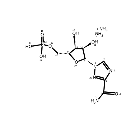 N.N.NC(=O)c1ncn([C@@H]2O[C@H](COP(=O)(O)O)[C@@H](O)[C@H]2O)n1